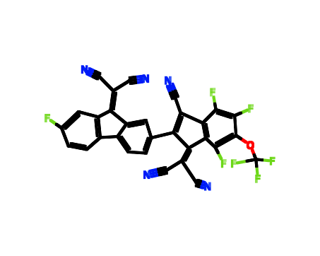 N#CC(C#N)=C1c2cc(F)ccc2-c2ccc(C3=C(C#N)c4c(F)c(F)c(OC(F)(F)F)c(F)c4C3=C(C#N)C#N)cc21